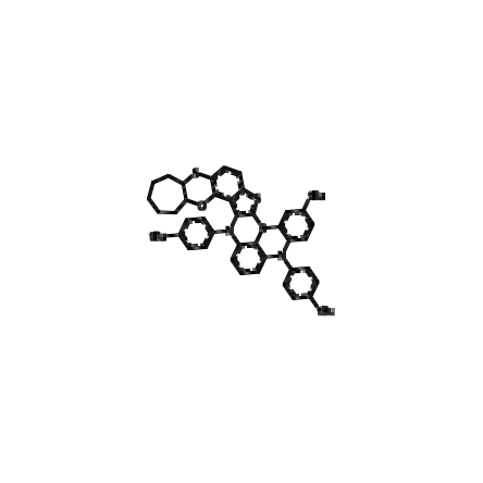 CC(C)(C)c1ccc(N2c3ccc(C(C)(C)C)cc3B3c4sc5ccc6c(c5c4N(c4ccc(C(C)(C)C)cc4)c4cccc2c43)OC2CCCCCC2S6)cc1